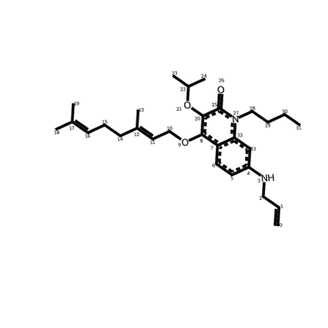 C=CCNc1ccc2c(OC/C=C(\C)CCC=C(C)C)c(OC(C)C)c(=O)n(CCCC)c2c1